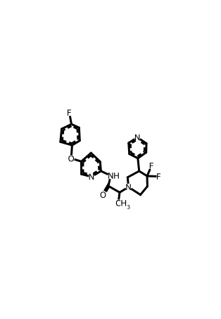 CC(C(=O)Nc1ccc(Oc2ccc(F)cc2)cn1)N1CCC(F)(F)C(c2ccncc2)C1